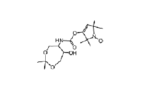 CC1(C)OCC(O)C(NC(=O)OC2=CC(C)(C)N([O])C2(C)C)CO1